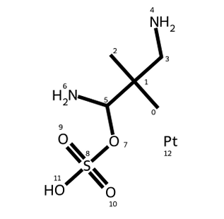 CC(C)(CN)C(N)OS(=O)(=O)O.[Pt]